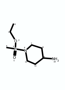 CCOP(C)(=O)N1CCC(N)CC1